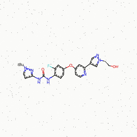 CC(C)(C)n1ccc(NC(=O)Nc2ccc(Oc3ccnc(-c4cnn(CCO)c4)c3)cc2F)n1